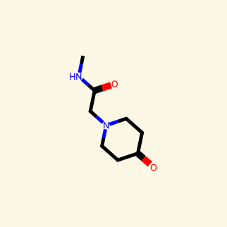 CNC(=O)CN1CCC(=O)CC1